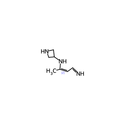 C/C(=C/C=N)NC1CNC1